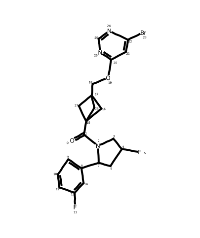 O=C(N1CC(F)CC1c1cccc(F)c1)C12CC(COc3cc(Br)ncn3)(C1)C2